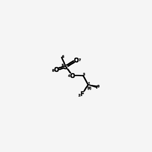 [CH2][C@@H](F)COS(C)(=O)=O